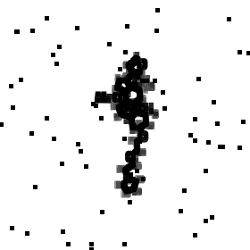 CO[C@@]12CCC(c3ccoc3)[C@@]1(C)CC[C@@H]1[C@H]2CCC2CC(OCCOCCN3CCCC3)CC[C@@]21C